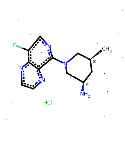 C[C@H]1C[C@@H](N)CN(c2ncc(F)c3nccnc23)C1.Cl